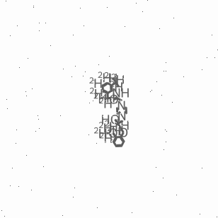 [2H]c1c([2H])c(C([2H])([2H])[2H])c(NC(=O)CN2CCN(CC([2H])(O)C([2H])([2H])Oc3ccccc3OC([2H])([2H])[2H])CC2)c(C([2H])([2H])[2H])c1[2H]